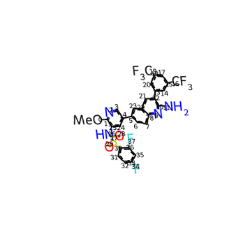 COc1ncc(-c2ccc3nc(N)c(-c4cc(C(F)(F)F)cc(C(F)(F)F)c4)cc3c2)cc1NS(=O)(=O)c1ccc(F)cc1F